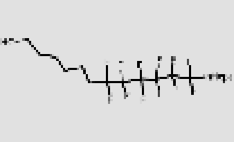 CCCCCCCC(F)(F)C(F)(F)C(F)(F)C(F)(F)C(F)(F)C(F)(F)CCCCCCO